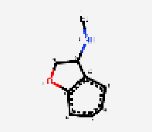 CCNC1COc2ccccc21